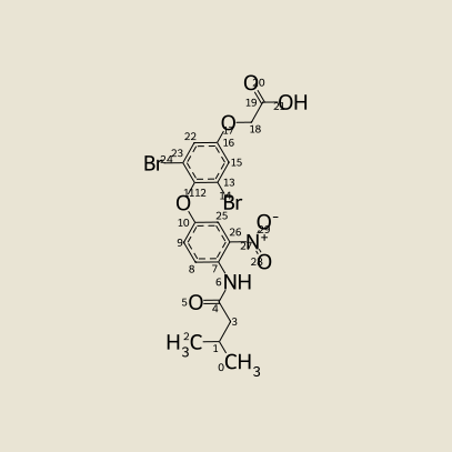 CC(C)CC(=O)Nc1ccc(Oc2c(Br)cc(OCC(=O)O)cc2Br)cc1[N+](=O)[O-]